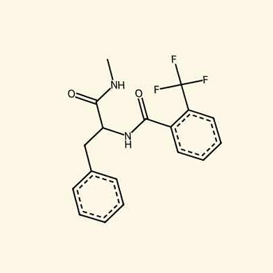 CNC(=O)C(Cc1ccccc1)NC(=O)c1ccccc1C(F)(F)F